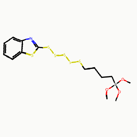 CO[Si](CCCCSSSSSc1nc2ccccc2s1)(OC)OC